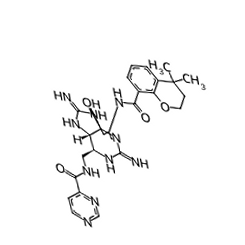 CC1(C)CCOc2c(C(=O)NC3CN4C(=N)N[C@@H](CNC(=O)c5ccncn5)[C@@H]5NC(=N)NC54[C@@H]3O)cccc21